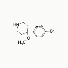 COC1(c2ccc(Br)nc2)CCNCC1